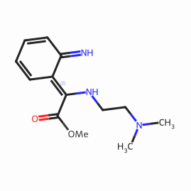 COC(=O)/C(NCCN(C)C)=C1\C=CC=CC1=N